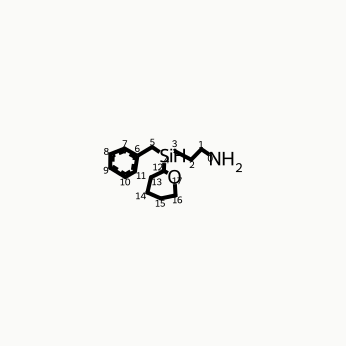 NCCC[SiH](Cc1ccccc1)C1CCCCO1